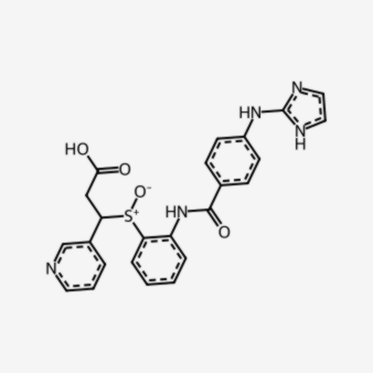 O=C(O)CC(c1cccnc1)[S+]([O-])c1ccccc1NC(=O)c1ccc(Nc2ncc[nH]2)cc1